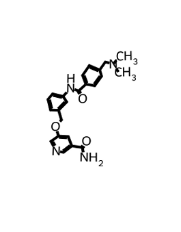 CN(C)Cc1ccc(C(=O)Nc2cccc(COc3cncc(C(N)=O)c3)c2)cc1